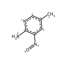 Bc1ncc(C)cc1N=O